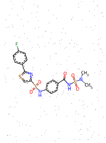 CN(C)S(=O)(=O)NC(=O)c1ccc(NS(=O)(=O)c2csc(-c3ccc(F)cc3)n2)cc1